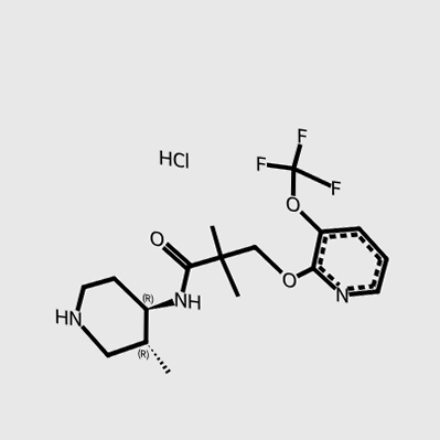 C[C@@H]1CNCC[C@H]1NC(=O)C(C)(C)COc1ncccc1OC(F)(F)F.Cl